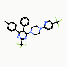 Cc1ccc(-c2nc(C(F)(F)F)nc(N3CCN(c4ccc(C(F)(F)F)cn4)CC3)c2-c2ccccc2)cc1